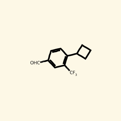 O=Cc1ccc(C2CCC2)c(C(F)(F)F)c1